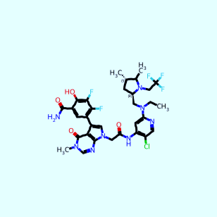 CCN(C[C@H]1C[C@H](C)C(C)N1CC(F)(F)F)c1cc(NC(=O)Cn2cc(-c3cc(C(N)=O)c(O)c(F)c3F)c3c(=O)n(C)cnc32)c(Cl)cn1